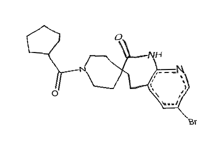 O=C(C1CCCC1)N1CCC2(CC1)Cc1cc(Br)cnc1NC2=O